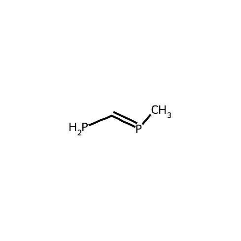 C/P=C/P